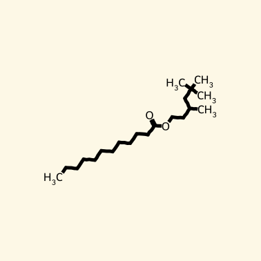 CCCCCCCCCCCC(=O)OCCC(C)CC(C)(C)C